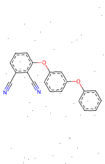 N#Cc1cccc(Oc2cccc(Oc3ccccc3)c2)c1C#N